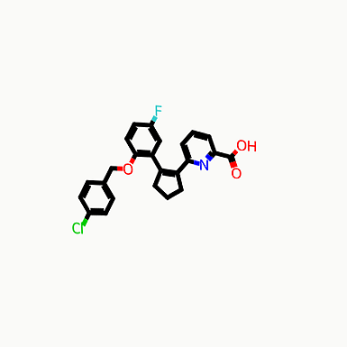 O=C(O)c1cccc(C2=C(c3cc(F)ccc3OCc3ccc(Cl)cc3)CCC2)n1